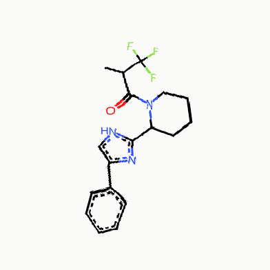 CC(C(=O)N1CCCCC1c1nc(-c2ccccc2)c[nH]1)C(F)(F)F